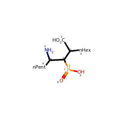 CCCCCCC(C(=O)O)C(C(N)CCCCC)[PH](=O)O